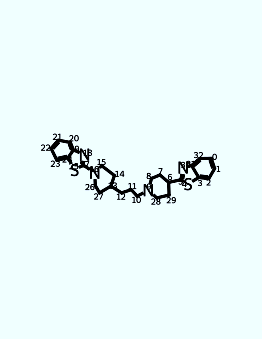 c1ccc2sc(C3CCN(CCCC4CCN(c5nc6ccccc6s5)CC4)CC3)nc2c1